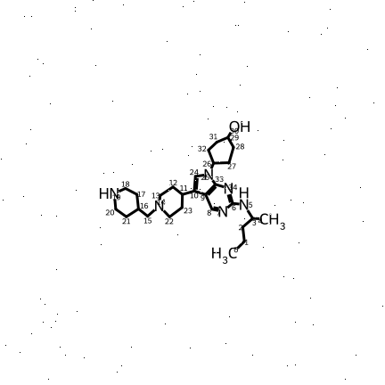 CCCC(C)Nc1ncc2c(C3CCN(CC4CCNCC4)CC3)cn(C3CCC(O)CC3)c2n1